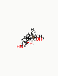 CC(SCC(C)(C)O)C1=CC[C@H]2C3=CC=C4CC(O)CC(O)[C@]4(C)[C@H]3CC[C@]12C